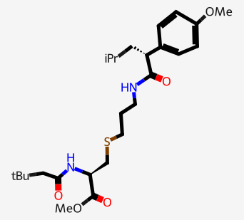 COC(=O)[C@H](CSCCCNC(=O)[C@H](CC(C)C)c1ccc(OC)cc1)NC(=O)CC(C)(C)C